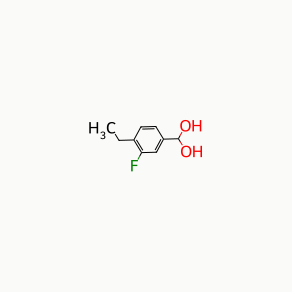 CCc1ccc(C(O)O)cc1F